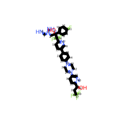 N=CN(N)CC(O)(c1ccc(F)cc1)C(F)(F)c1ccc(-c2ccc(N3CCN(c4ccc(C(O)CC(F)(F)F)nc4)CC3)cc2)cn1